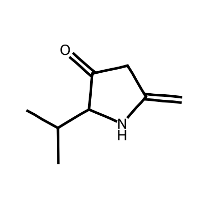 C=C1CC(=O)C(C(C)C)N1